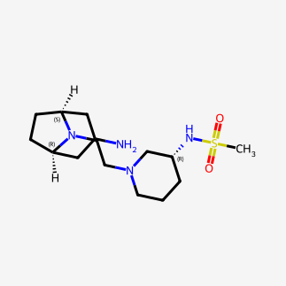 CS(=O)(=O)N[C@@H]1CCCN(CCN2[C@@H]3CC[C@H]2CC(N)C3)C1